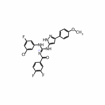 COc1ccc(-c2cc(N/C(=N\C(=O)c3ccc(F)c(F)c3)Nc3cc(F)cc(Cl)c3)[nH]n2)cc1